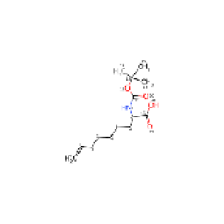 C=CCCCCCC(NC(=O)OC(C)(C)C)C(=O)O